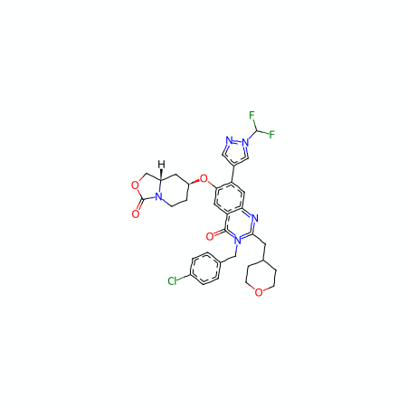 O=C1OC[C@@H]2C[C@@H](Oc3cc4c(=O)n(Cc5ccc(Cl)cc5)c(CC5CCOCC5)nc4cc3-c3cnn(C(F)F)c3)CCN12